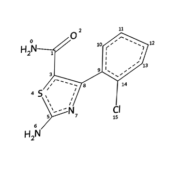 NC(=O)c1sc(N)nc1-c1ccccc1Cl